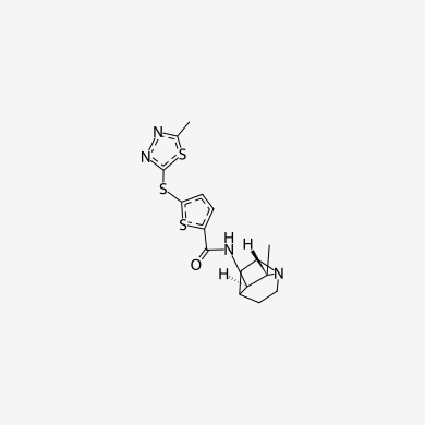 Cc1nnc(Sc2ccc(C(=O)N[C@@H]3C4CCN(CC4)[C@H]3C)s2)s1